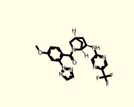 COc1ccc(C(=O)N2C[C@H]3C[C@@H](Nc4cnc(C(F)(F)F)cn4)[C@@H]2C3)c(-n2nccn2)c1